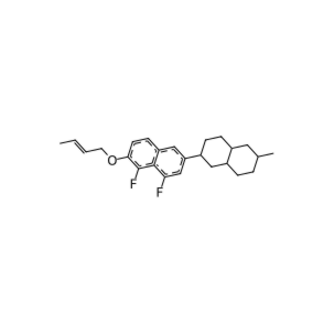 CC=CCOc1ccc2cc(C3CCC4CC(C)CCC4C3)cc(F)c2c1F